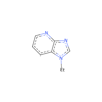 CCn1cnc2ncc[c]c21